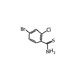 NC(=S)c1ccc(Br)cc1Cl